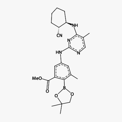 COC(=O)c1cc(Nc2ncc(C)c(N[C@@H]3CCCC[C@H]3C#N)n2)cc(C)c1B1OCC(C)(C)O1